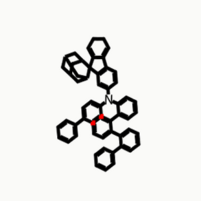 C1=C2C(=CCC1)C1(c3cc(N(c4ccc(-c5ccccc5)cc4)c4ccccc4-c4ccccc4-c4ccccc4-c4ccccc4)ccc32)C2CC3CC(C2)CC1C3